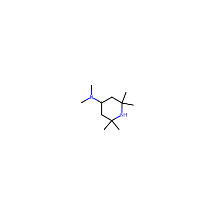 CN(C)[C]1CC(C)(C)NC(C)(C)C1